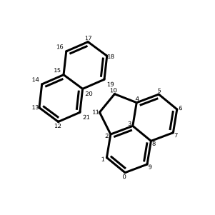 c1cc2c3c(cccc3c1)CC2.c1ccc2ccccc2c1